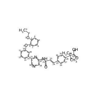 CCOc1ccccc1Oc1cccc(-c2cncc(NC(=O)/C=C/c3ccc(C(C)(C)C(=O)O)cc3)n2)c1